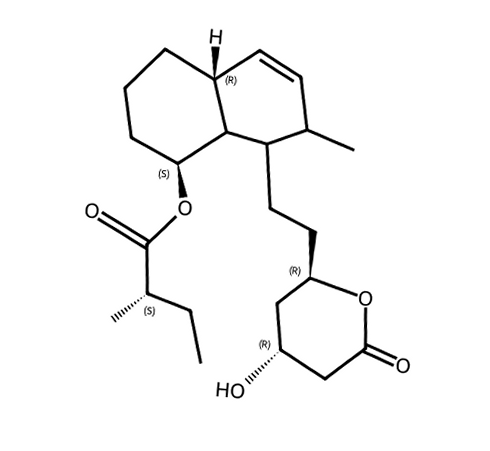 CC[C@H](C)C(=O)O[C@H]1CCC[C@@H]2C=CC(C)C(CC[C@@H]3C[C@@H](O)CC(=O)O3)C12